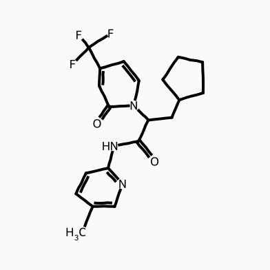 Cc1ccc(NC(=O)C(CC2CCCC2)n2ccc(C(F)(F)F)cc2=O)nc1